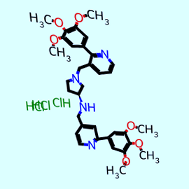 COc1cc(-c2cc(CN[C@H]3CCN(Cc4cccnc4-c4cc(OC)c(OC)c(OC)c4)C3)ccn2)cc(OC)c1OC.Cl.Cl.Cl